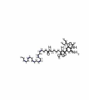 CC/C=C\C/C=C\C/C=C\C/C=C\C/C=C\C/C=C\CCC(=O)NCCCCC(NC(=O)C1=C[C@@H](OC(CC)CC)[C@H](NC(C)=O)[C@@H](N)C1)C(=O)OC